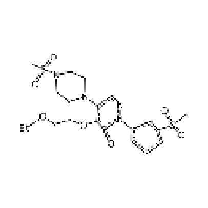 CCOCCOc1c(N2CCN(S(C)(=O)=O)CC2)cnn(-c2cccc(S(C)(=O)=O)c2)c1=O